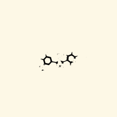 Cc1nc(Cl)c(-c2nnc(-c3cc(O)c(O)c([N+](=O)[O-])c3)n2C)c(C)c1C